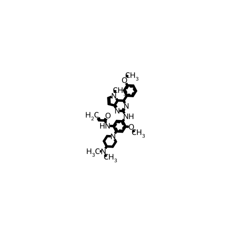 C=CC(=O)Nc1cc(NC2=NC(c3cccc(OC)c3)C3C(=N2)C=CN3C)c(OC)cc1N1CCC(N(C)C)CC1